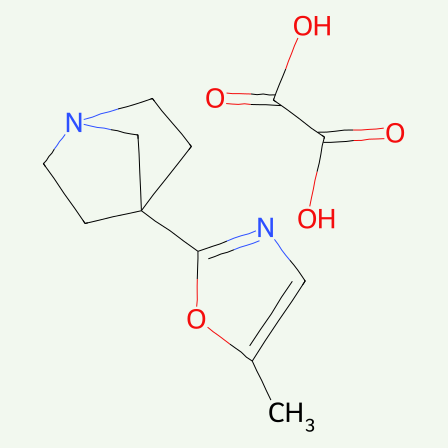 Cc1cnc(C23CCN(CC2)C3)o1.O=C(O)C(=O)O